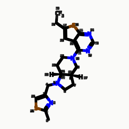 Cc1nc(CN2CC[C@H]3CN(c4ncnc5sc(CC(F)(F)F)cc45)CC[C@H]32)cs1